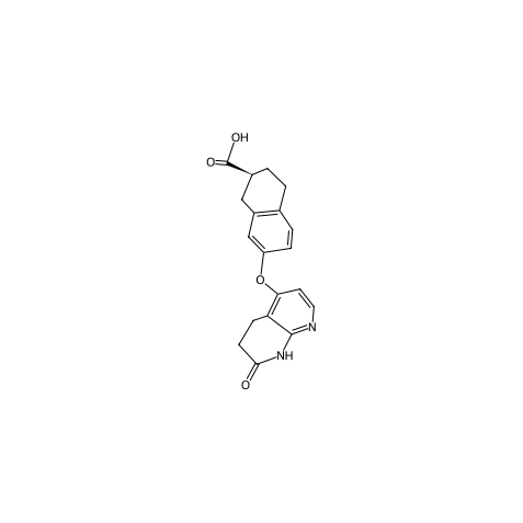 O=C1CCc2c(Oc3ccc4c(c3)C[C@@H](C(=O)O)CC4)ccnc2N1